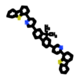 CC1(C)c2cc(-c3ccc(-c4cccc5c4sc4ccccc45)nc3)ccc2-c2ccc(-c3ccc(-c4cccc5c4sc4ccccc45)nc3)cc21